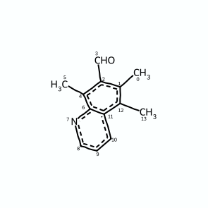 Cc1c(C=O)c(C)c2ncccc2c1C